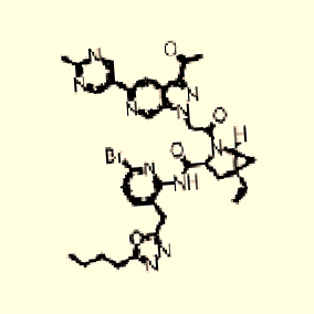 C=C[C@@]12C[C@@H](C(=O)Nc3nc(Br)ccc3Cc3nnc(CCCC)o3)N(C(=O)Cn3nc(C(C)=O)c4cc(-c5cnc(C)nc5)ncc43)[C@@H]1C2